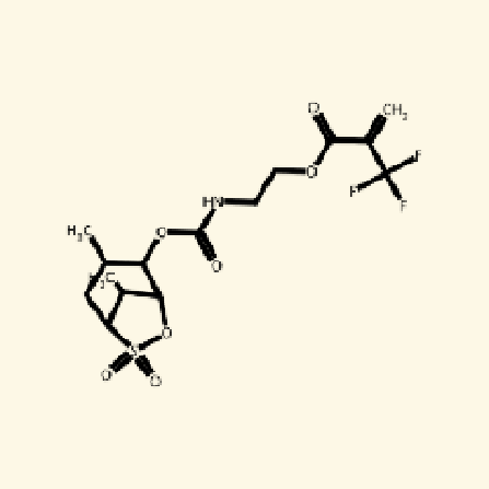 C=C(C(=O)OCCNC(=O)OC1C(C)CC2C(C)C1OS2(=O)=O)C(F)(F)F